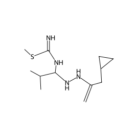 C=C(CC1CC1)NNC(NC(=N)SC)C(C)C